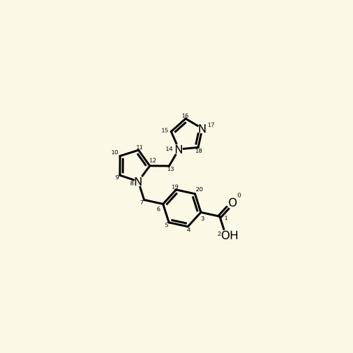 O=C(O)c1ccc(Cn2cccc2Cn2ccnc2)cc1